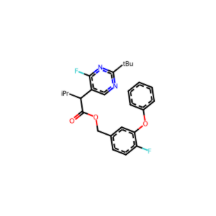 CC(C)C(C(=O)OCc1ccc(F)c(Oc2ccccc2)c1)c1cnc(C(C)(C)C)nc1F